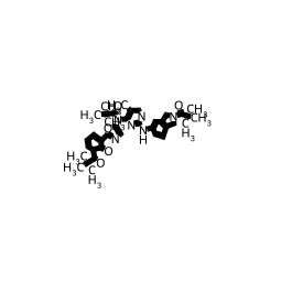 Cc1cnc(Nc2ccc3c(c2)CN(C(=O)C(C)(C)C)C3)nc1N(C(=O)C(C)(C)C)c1cnc(C2=CC=CC(C(=O)C(C)(C)C)C2=O)o1